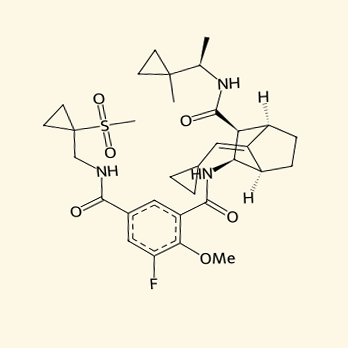 COc1c(F)cc(C(=O)NCC2(S(C)(=O)=O)CC2)cc1C(=O)N[C@H]1[C@@H](C(=O)N[C@H](C)C2(C)CC2)[C@H]2CC[C@@H]1/C2=C\C1CC1